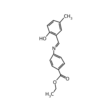 CCOC(=O)c1ccc(/N=C/c2cc(C)ccc2O)cc1